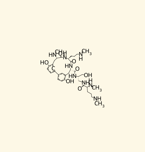 CNCCCC(NC)C(=O)NC[C@@H](CO)NC(=O)[C@@H]1Cc2cc(ccc2O)-c2ccc(O)c(c2)C[C@H](NC)C(=O)N[C@@H](CCCNC)C(=O)N1